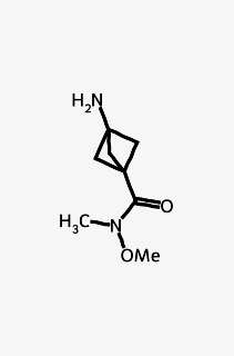 CON(C)C(=O)C12CC(N)(C1)C2